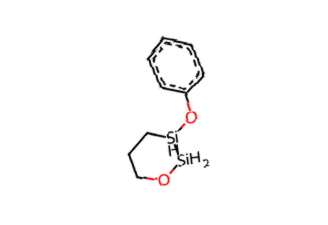 c1ccc(O[SiH]2CCCO[SiH2]2)cc1